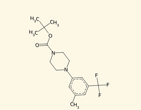 Cc1cc(N2CCN(C(=O)OC(C)(C)C)CC2)cc(C(F)(F)F)c1